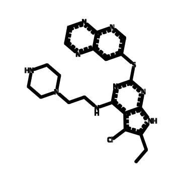 CCc1[nH]c2nc(Sc3cnc4nccnc4c3)nc(NCCN3CCNCC3)c2c1Cl